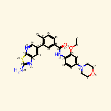 CCOc1cc(N2CCOCC2)ccc1NC(=O)c1ccc(C)c(-c2cnc3sc(N)nc3c2)c1